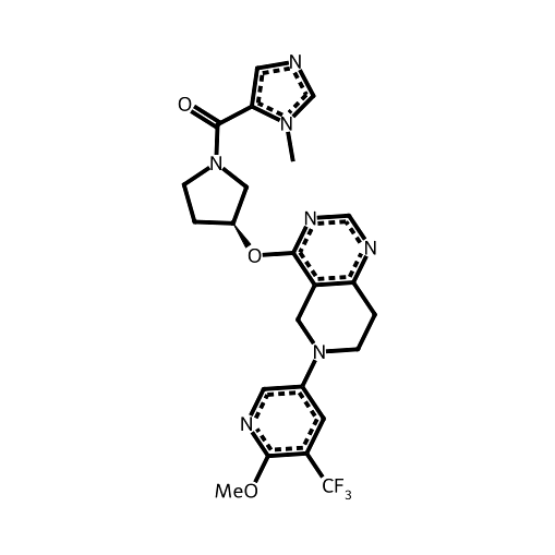 COc1ncc(N2CCc3ncnc(O[C@H]4CCN(C(=O)c5cncn5C)C4)c3C2)cc1C(F)(F)F